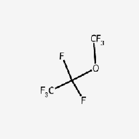 FC(F)(F)OC(F)(F)C(F)(F)F